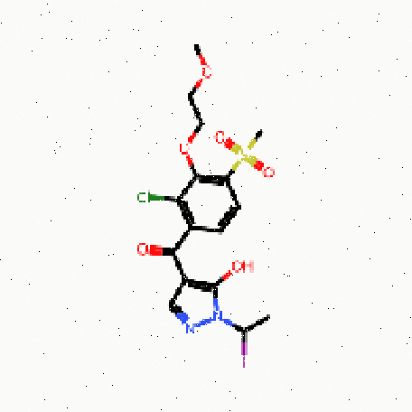 COCCOc1c(S(C)(=O)=O)ccc(C(=O)c2cnn(C(C)I)c2O)c1Cl